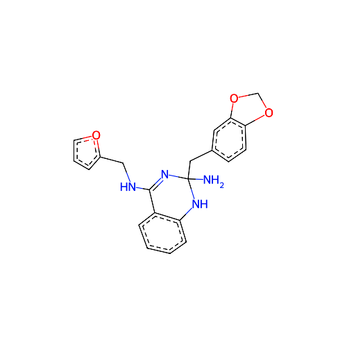 NC1(Cc2ccc3c(c2)OCO3)N=C(NCc2ccco2)c2ccccc2N1